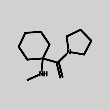 C=C(N1CCCC1)C1(NC)CCCCC1